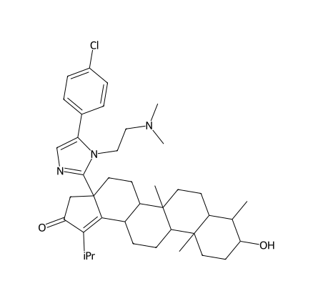 CC(C)C1=C2C3CCC4C(C)(CCC5C(C)C(O)CCC54C)C3CCC2(c2ncc(-c3ccc(Cl)cc3)n2CCN(C)C)CC1=O